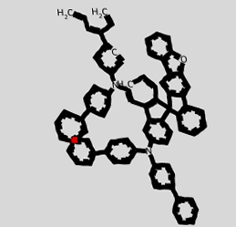 C=C/C=C(\C=C)c1ccc(N(/C=C/C2=C(/C=C\C)C3(c4ccc(N(c5ccc(-c6ccccc6)cc5)c5ccc(-c6ccccc6)cc5)cc42)c2ccccc2-c2cc4oc5ccccc5c4cc23)c2ccc(-c3ccccc3)cc2)cc1